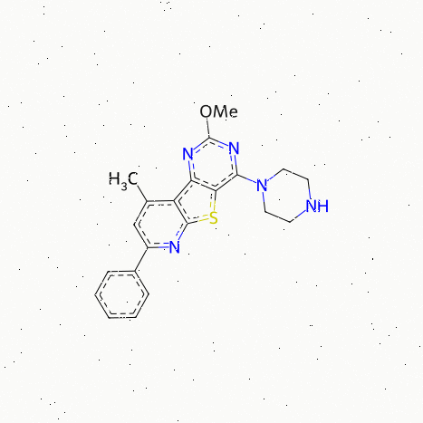 COc1nc(N2CCNCC2)c2sc3nc(-c4ccccc4)cc(C)c3c2n1